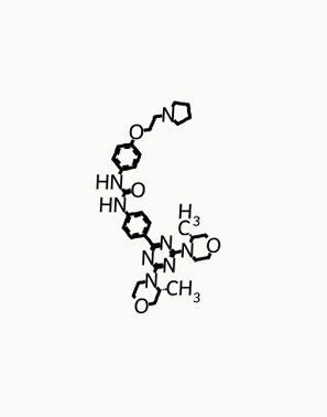 C[C@@H]1COCCN1c1nc(-c2ccc(NC(=O)Nc3ccc(OCCN4CCCC4)cc3)cc2)nc(N2CCOC[C@H]2C)n1